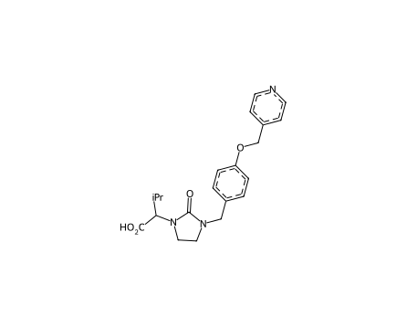 CC(C)C(C(=O)O)N1CCN(Cc2ccc(OCc3ccncc3)cc2)C1=O